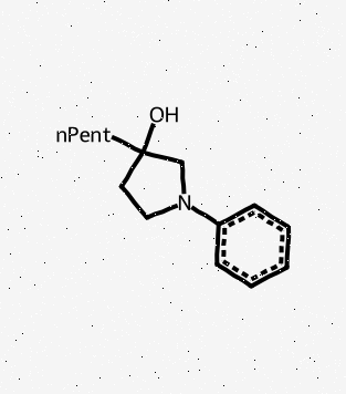 CCCCCC1(O)CCN(c2ccccc2)C1